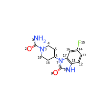 NC(=O)N1CCC(n2c(=O)[nH]c3ccc(F)cc32)CC1